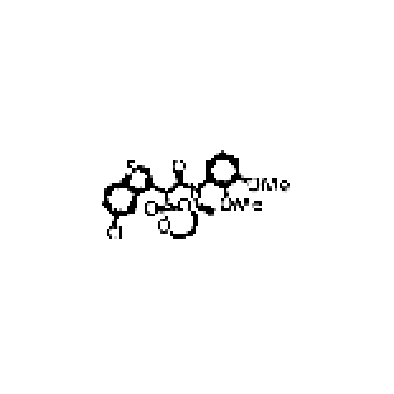 C=CN(C(=O)C(c1csc2ccc(Cl)cc12)P1(=O)OCCCO1)c1cccc(OC)c1OC